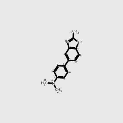 Cc1nc2cc(-c3ccc(N(C)C)cc3)ccc2s1